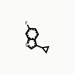 Fc1ccc2c(C3CC3)csc2c1